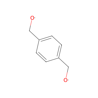 [O]Cc1ccc(C[O])cc1